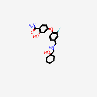 NC(=O)c1ccc(Oc2ccc(CNCC3(O)CCCCC3)cc2F)cc1O